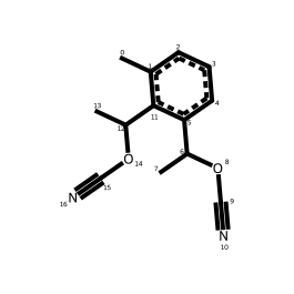 Cc1cccc(C(C)OC#N)c1C(C)OC#N